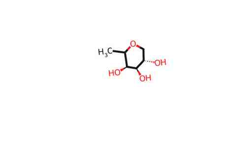 CC1OC[C@H](O)[C@@H](O)[C@H]1O